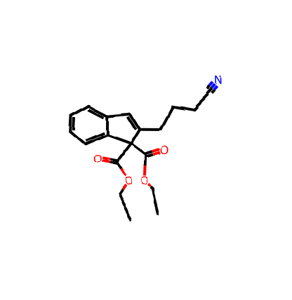 CCOC(=O)C1(C(=O)OCC)C(CCCC#N)=Cc2ccccc21